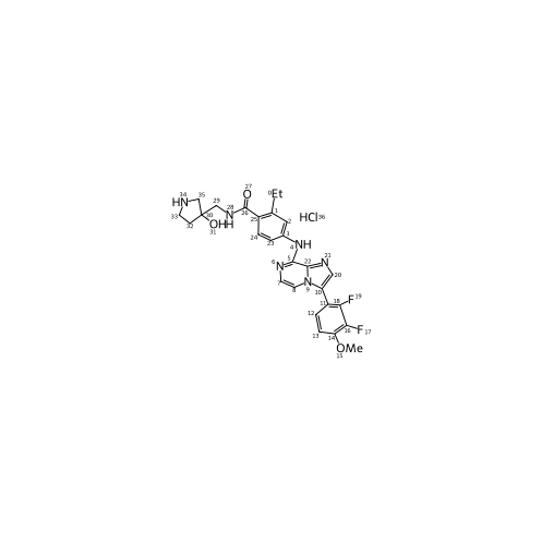 CCc1cc(Nc2nccn3c(-c4ccc(OC)c(F)c4F)cnc23)ccc1C(=O)NCC1(O)CCNC1.Cl